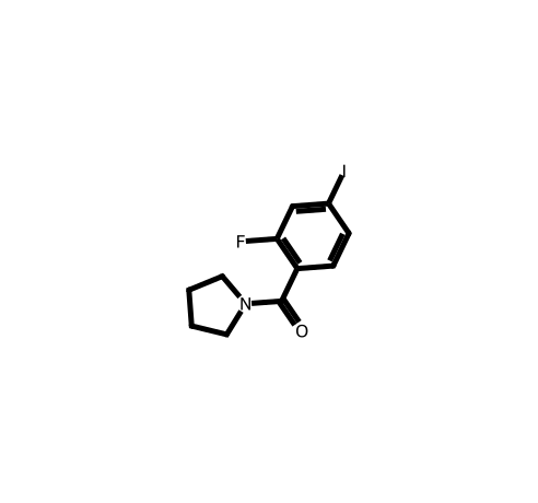 O=C(c1ccc(I)cc1F)N1CCCC1